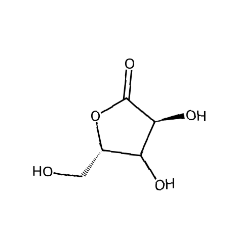 O=C1O[C@@H](CO)C(O)[C@@H]1O